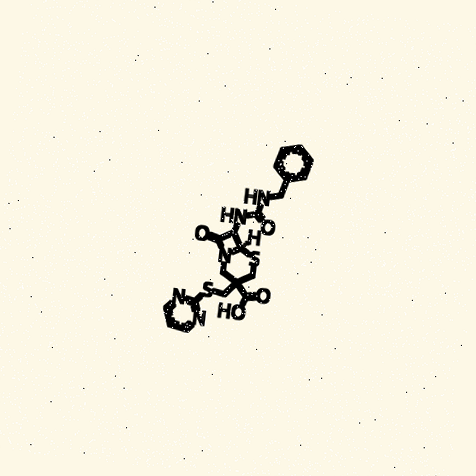 O=C(NCc1ccccc1)NC1C(=O)N2CC(CSc3ncccn3)(C(=O)O)CS[C@H]12